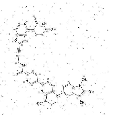 CN1CCN(c2ccc3c(c2)n(C)c(=O)n3C)c2cnc(-c3ccc(C(=O)NCC#Cc4cc5c(C6CCC(=O)NC6=O)nccc5o4)nc3)nc21